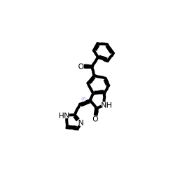 O=C1Nc2ccc(C(=O)c3ccccc3)cc2/C1=C/c1ncc[nH]1